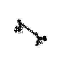 C=CC(=O)N1CCN(c2nc(OC[C@@H]3C[C@@H](OCCOCCOCCOCCOCCOc4cc(-c5scnc5C)ccc4CNC(=O)[C@@H]4C[C@@H](O)CN4C(=O)C(c4cc(C)no4)C(C)C)CN3C)nc3c2CCN(c2cccc4ccccc24)C3)C[C@@H]1CC#N